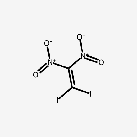 O=[N+]([O-])C(=C(I)I)[N+](=O)[O-]